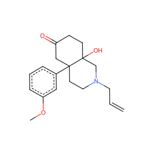 C=CCN1CCC2(c3cccc(OC)c3)CC(=O)CCC2(O)C1